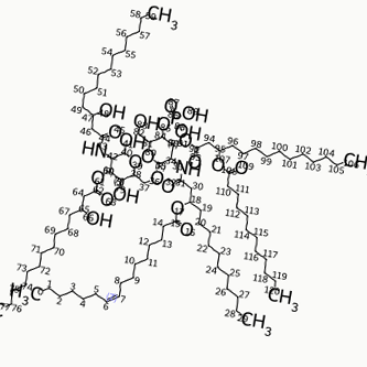 CCCCCC/C=C\CCCCCCCC(=O)OC(CCCCCCCCCCC)CC(=O)NC1[C@H](OCC2OC(O)C(NC(=O)CC(O)CCCCCCCCCCC)[C@@H](OC(=O)CC(O)CCCCCCCCCCC)[C@@H]2O)OC(CO)C(OP(=O)(O)O)[C@@H]1OC(=O)CC(CCCCCCCCCCC)OC(=O)CCCCCCCCCCC